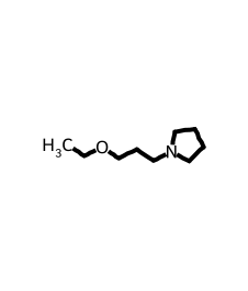 CCOCCCN1CCCC1